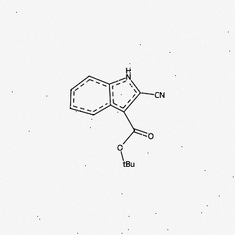 CC(C)(C)OC(=O)c1c(C#N)[nH]c2ccccc12